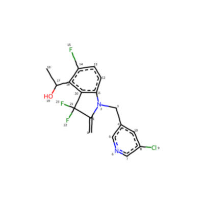 C=C1N(Cc2cncc(Cl)c2)c2ccc(F)c(C(C)O)c2C1(F)F